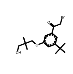 CC(C)(CO)COc1cc(C(=O)CBr)cc(C(C)(C)C)c1